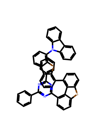 c1ccc(-c2nc(-c3ccccc3)nc(-c3cccc4sc5cccc(-c6cccc7c6sc6c(-n8c9ccccc9c9ccccc98)cccc67)c5c34)n2)cc1